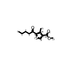 CCCCC(=O)c1scc(C(=O)OC)c1C